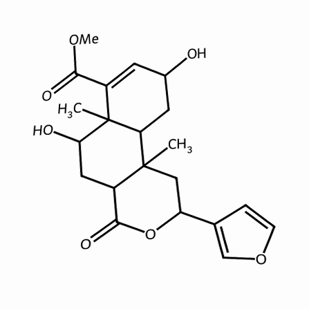 COC(=O)C1=CC(O)CC2C3(C)CC(c4ccoc4)OC(=O)C3CC(O)C12C